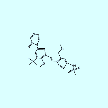 COCc1cc(NS(C)(=O)=O)ccc1/C=C/c1cc(-n2ccncc2=O)cc(C(C)(C)C)c1OC